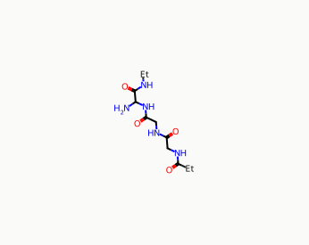 CCNC(=O)C(N)NC(=O)CNC(=O)CNC(=O)CC